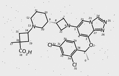 C[C@@H](Oc1cc(N2CC([C@H]3CCCN(C4CC(C)(C(=O)O)C4)C3)C2)cn2cnnc12)c1ccc(Cl)cc1Cl